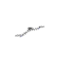 CCCCCCCC/C=C\CCCCCCCCC(N)(CO)CCCCCCCC/C=C\CCCCCCCC